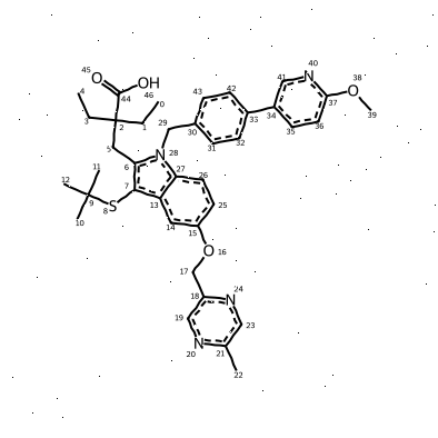 CCC(CC)(Cc1c(SC(C)(C)C)c2cc(OCc3cnc(C)cn3)ccc2n1Cc1ccc(-c2ccc(OC)nc2)cc1)C(=O)O